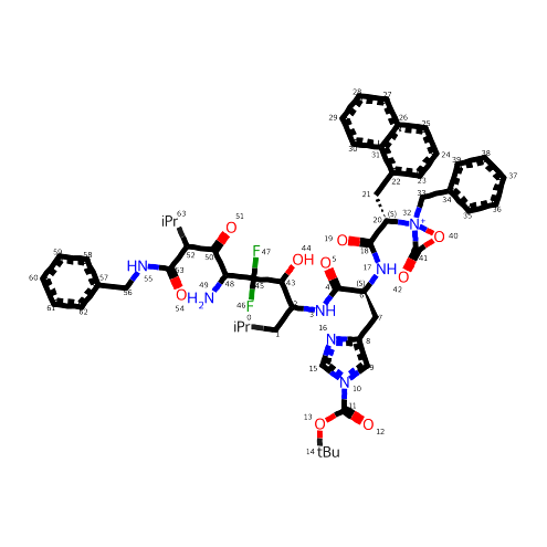 CC(C)CC(NC(=O)[C@H](Cc1cn(C(=O)OC(C)(C)C)cn1)NC(=O)[C@H](Cc1cccc2ccccc12)[N+]1(Cc2ccccc2)OC1=O)C(O)C(F)(F)C(N)C(=O)C(C(=O)NCc1ccccc1)C(C)C